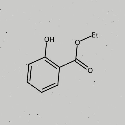 CCOC(=O)c1ccc[c]c1O